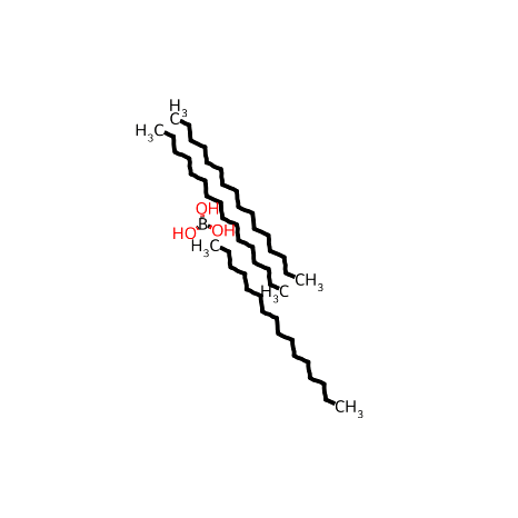 CCCCCCCCCCCCCCCC.CCCCCCCCCCCCCCCC.CCCCCCCCCCCCCCCC.OB(O)O